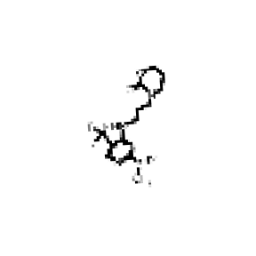 C[S+]([O-])c1ncc(C(F)(F)F)c(NCCCN2CCCOC2=O)n1